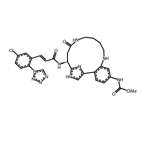 COC(=O)Nc1ccc2c(c1)NCCCCNC(=O)C[C@H](NC(=O)/C=C/c1cc(Cl)ccc1-n1cnnn1)c1nc-2c[nH]1